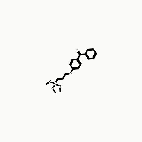 CO[Si](CCCOc1ccc(C(=O)c2ccccc2)cc1)(OC)OC